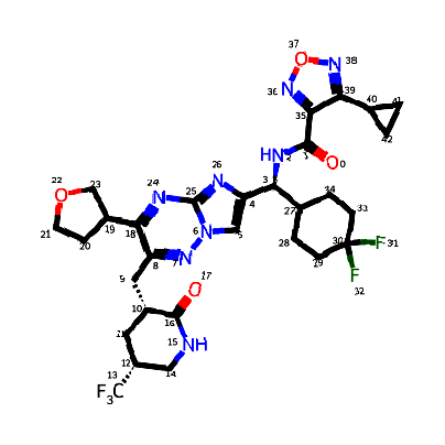 O=C(N[C@H](c1cn2nc(C[C@H]3C[C@@H](C(F)(F)F)CNC3=O)c(C3CCOC3)nc2n1)C1CCC(F)(F)CC1)c1nonc1C1CC1